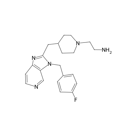 NCCN1CCC(Cc2nc3ccncc3n2Cc2ccc(F)cc2)CC1